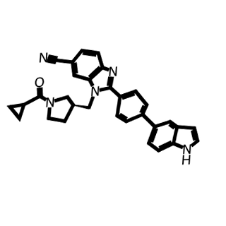 N#Cc1ccc2nc(-c3ccc(-c4ccc5[nH]ccc5c4)cc3)n(C[C@H]3CCN(C(=O)C4CC4)C3)c2c1